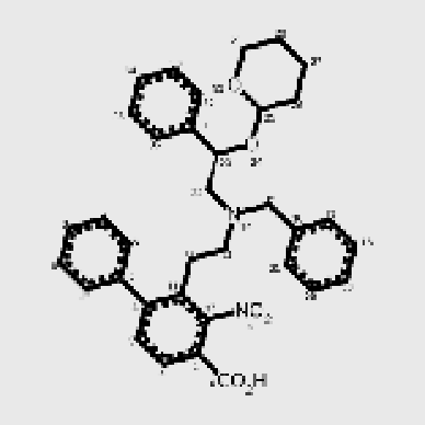 O=C(O)c1ccc(-c2ccccc2)c(CCN(Cc2ccccc2)C[C@H](OC2CCCCO2)c2ccccc2)c1[N+](=O)[O-]